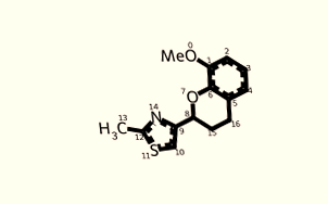 COc1cccc2c1OC(c1csc(C)n1)CC2